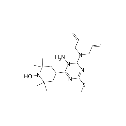 C=CCN(CC=C)C1N=C(SC)N=C(C2CC(C)(C)N(O)C(C)(C)C2)N1N